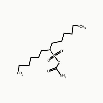 CCCCCCN(CCCCCC)S(=O)(=O)OC(N)=O